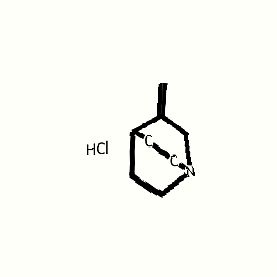 C=C1CN2CCC1CC2.Cl